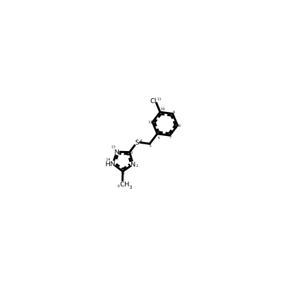 Cc1nc(SCc2cccc(Cl)c2)n[nH]1